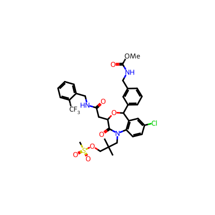 COC(=O)NCc1cccc(C2OC(CC(=O)NCc3ccccc3C(F)(F)F)C(=O)N(CC(C)(C)COS(C)(=O)=O)c3ccc(Cl)cc32)c1